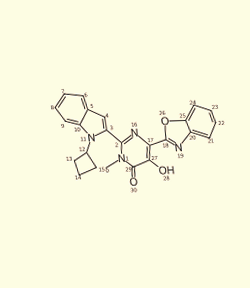 Cn1c(-c2cc3ccccc3n2C2CCC2)nc(-c2nc3ccccc3o2)c(O)c1=O